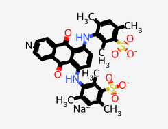 Cc1cc(C)c(S(=O)(=O)[O-])c(C)c1Nc1ccc(Nc2c(C)cc(C)c(S(=O)(=O)[O-])c2C)c2c1C(=O)c1ccccc1C2=O.[Na+].[Na+]